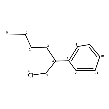 [CH2]CCCC(CCl)c1ccccc1